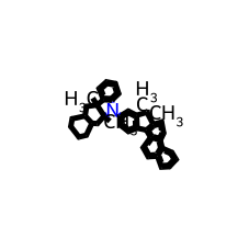 CC1(C)c2cc(N3c4ccccc4C4(C)CC5CCCCC5CC34C)ccc2-c2c1ccc1c2ccc2ccccc21